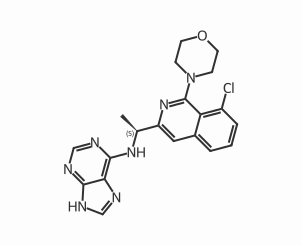 C[C@H](Nc1ncnc2[nH]cnc12)c1cc2cccc(Cl)c2c(N2CCOCC2)n1